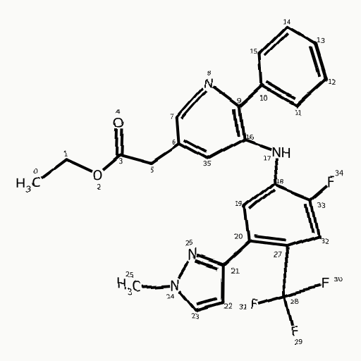 CCOC(=O)Cc1cnc(-c2ccccc2)c(Nc2cc(-c3ccn(C)n3)c(C(F)(F)F)cc2F)c1